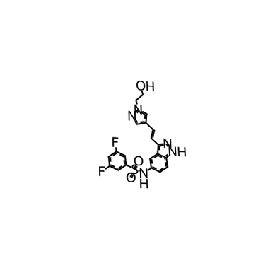 O=S(=O)(Nc1ccc2[nH]nc(C=Cc3cnn(CCO)c3)c2c1)c1cc(F)cc(F)c1